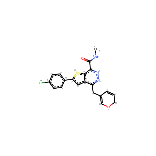 CNC(=O)c1nnc(CC2=COCC=C2)c2cc(-c3ccc(Cl)cc3)sc12